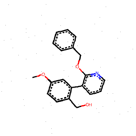 COc1ccc(CO)c(-c2cccnc2OCc2ccccc2)c1